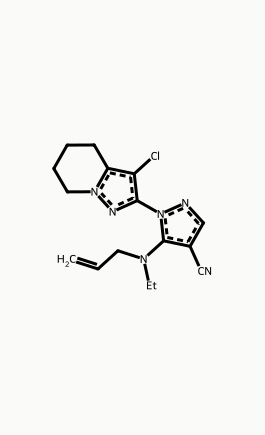 C=CCN(CC)c1c(C#N)cnn1-c1nn2c(c1Cl)CCCC2